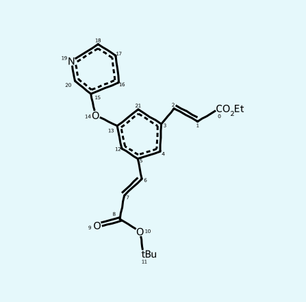 CCOC(=O)C=Cc1cc(C=CC(=O)OC(C)(C)C)cc(Oc2cccnc2)c1